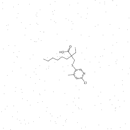 CCCCCCC(CC)(CSc1cnc(Cl)cc1C)C(=O)O